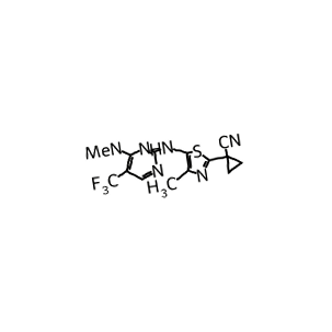 CNc1nc(Nc2sc(C3(C#N)CC3)nc2C)ncc1C(F)(F)F